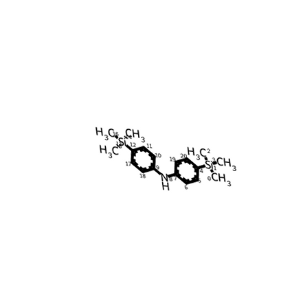 C[Si](C)(C)c1ccc(Nc2ccc([Si](C)(C)C)cc2)cc1